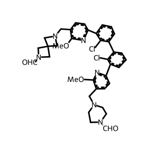 COc1nc(-c2cccc(-c3cccc(-c4ccc(CN5CC6(CN(C=O)C6)C5)c(OC)n4)c3Cl)c2Cl)ccc1CN1CCN(C=O)CC1